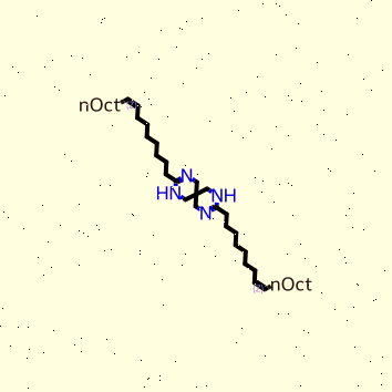 CCCCCCCC/C=C\CCCCCCCC1=NCC2(CN=C(CCCCCCC/C=C\CCCCCCCC)NC2)CN1